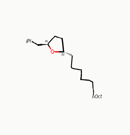 CCCCCCCCCCCCC[C@H]1CC[C@H](CC(C)C)O1